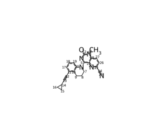 Cn1c(=O)nc(N2CCCc3c(C#CC4CC4)cccc32)c2nc(C#N)ccc21